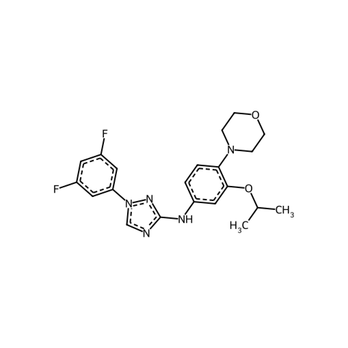 CC(C)Oc1cc(Nc2ncn(-c3cc(F)cc(F)c3)n2)ccc1N1CCOCC1